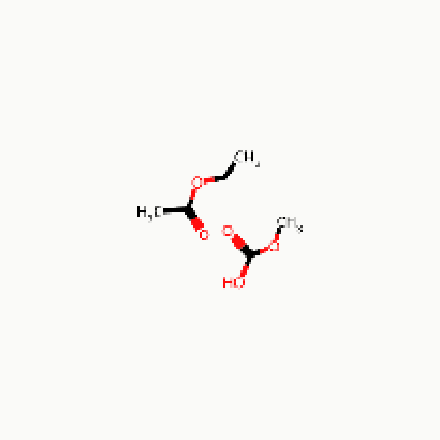 CCOC(C)=O.COC(=O)O